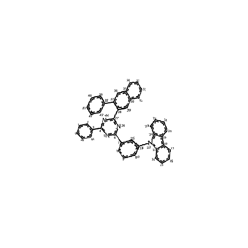 c1ccc(-c2nc(-c3cccc(-n4c5ccccc5c5ccccc54)c3)nc(-c3cc4ccccc4cc3-c3ccccc3)n2)cc1